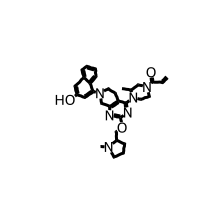 C=CC(=O)N1CCN(c2nc(OCC3CCCN3C)nc3c2CCN(c2cc(O)cc4ccccc24)C3)C(C)C1